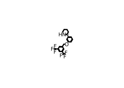 FC(F)(F)c1cc(COc2cccc([C@@H]3CCCCN3)c2)cc(C(F)(F)F)c1